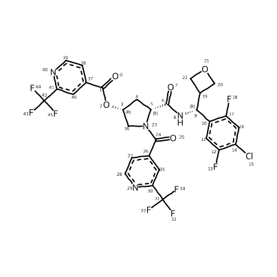 O=C(O[C@@H]1C[C@H](C(=O)N[C@@H](c2cc(F)c(Cl)cc2F)C2COC2)N(C(=O)c2ccnc(C(F)(F)F)c2)C1)c1ccnc(C(F)(F)F)c1